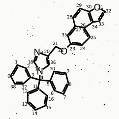 c1ccc(C(c2ccccc2)(c2ccccc2)n2cnc(COc3ccc4c(ccc5occc54)c3)c2)cc1